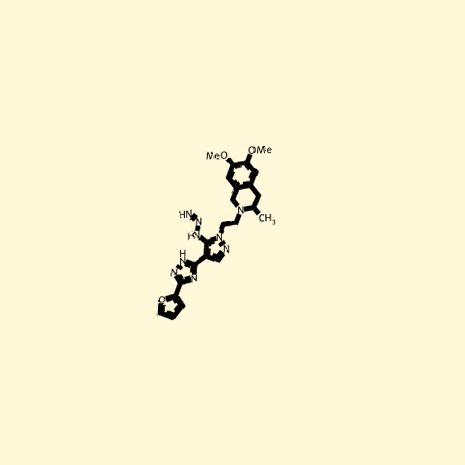 COc1cc2c(cc1OC)CN(CCn1ncc(-c3nc(-c4ccco4)n[nH]3)c1NN=N)C(C)C2